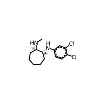 CN[C@@H]1CCCCC[C@H]1Nc1ccc(Cl)c(Cl)c1